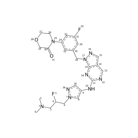 CN(C)CC(F)Cn1cc(Nc2ncc3cnn(Cc4cc(F)cc(N5CCOCC5=O)c4)c3n2)cn1